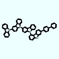 c1ccc(-c2ccc(-c3ccc4c(c3)oc3cccc(-n5c6ccccc6c6cc(-n7c8ccccc8c8cc(-n9c%10ccccc%10c%10ccccc%109)ccc87)ccc65)c34)cc2)cc1